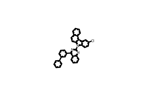 Clc1ccc2c(c1)c1c3ccccc3ccc1n2-c1nc(-c2cccc(-c3ccccc3)c2)c2ccccc2n1